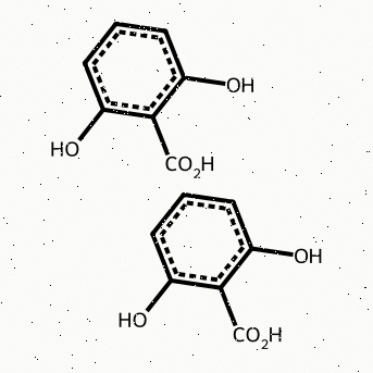 O=C(O)c1c(O)cccc1O.O=C(O)c1c(O)cccc1O